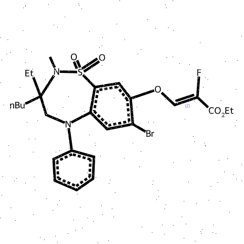 CCCCC1(CC)CN(c2ccccc2)c2cc(Br)c(O/C=C(\F)C(=O)OCC)cc2S(=O)(=O)N1C